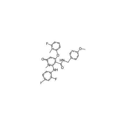 COc1ccc(CNC(=O)c2c(Oc3cccc(F)c3C)cc(=O)n(C)c2Nc2ccc(I)cc2F)cc1